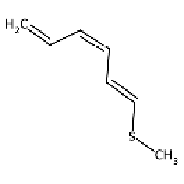 C=C/C=C\C=C\SC